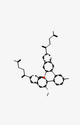 COc1cc2cc(C(=O)CCC(=O)O)sc2cc1-c1ccc(F)cc1-c1cc2sc(C(=O)CCC(=O)O)cc2cc1OC